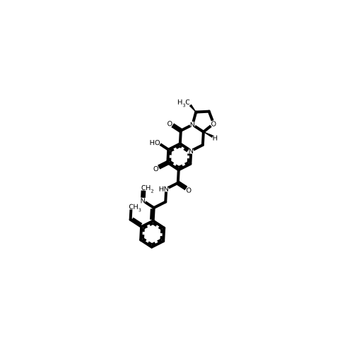 C=N/C(CNC(=O)c1cn2c(c(O)c1=O)C(=O)N1[C@@H](C)CO[C@@H]1C2)=c1/cccc/c1=C/C